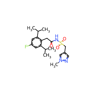 CC(C)c1cc(F)cc(C(C)C)c1CC(=O)NS(=O)(=O)Cc1cnn(C)c1